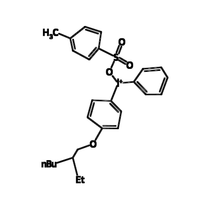 CCCCC(CC)COc1ccc([I+](OS(=O)(=O)c2ccc(C)cc2)c2ccccc2)cc1